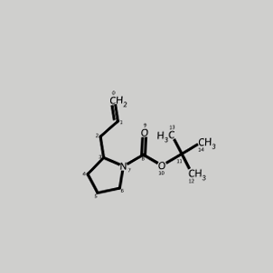 C=CCC1CCCN1C(=O)OC(C)(C)C